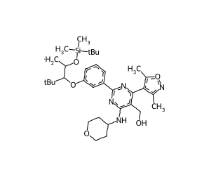 [CH2]C(O[Si](C)(C)C(C)(C)C)C(Oc1cccc(-c2nc(NC3CCOCC3)c(CO)c(-c3c(C)noc3C)n2)c1)C(C)(C)C